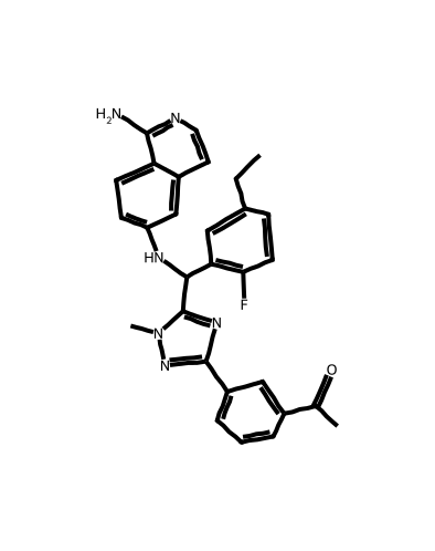 CCc1ccc(F)c(C(Nc2ccc3c(N)nccc3c2)c2nc(-c3cccc(C(C)=O)c3)nn2C)c1